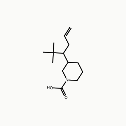 C=CCC(C1CCCN(C(=O)O)C1)C(C)(C)C